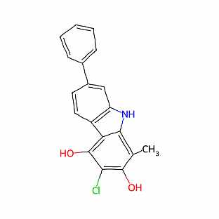 Cc1c(O)c(Cl)c(O)c2c1[nH]c1cc(-c3ccccc3)ccc12